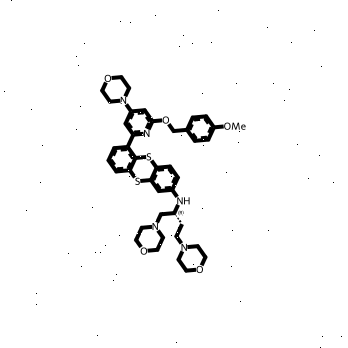 COc1ccc(COc2cc(N3CCOCC3)cc(-c3cccc4c3Sc3ccc(N[C@H](CCN5CCOCC5)CN5CCOCC5)cc3S4)n2)cc1